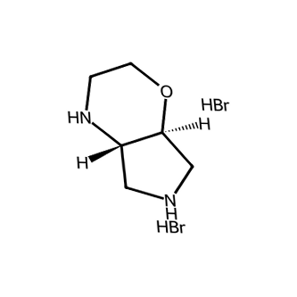 Br.Br.C1CO[C@H]2CNC[C@@H]2N1